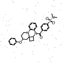 CN(C)S(=O)(=O)c1ccc(C(=O)N(c2ccccc2N2CCC(Oc3ccccc3)CC2)C2CCC2)cc1